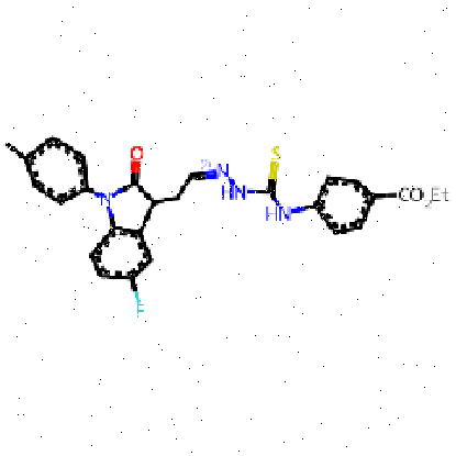 CCOC(=O)c1ccc(NC(=S)N/N=C\CC2C(=O)N(c3ccc(C)cc3)c3ccc(F)cc32)cc1